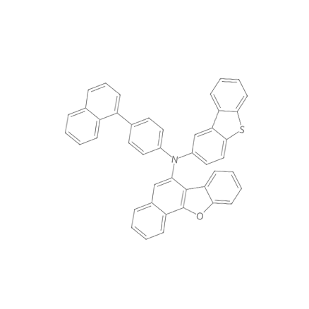 c1ccc2c(-c3ccc(N(c4ccc5sc6ccccc6c5c4)c4cc5ccccc5c5oc6ccccc6c45)cc3)cccc2c1